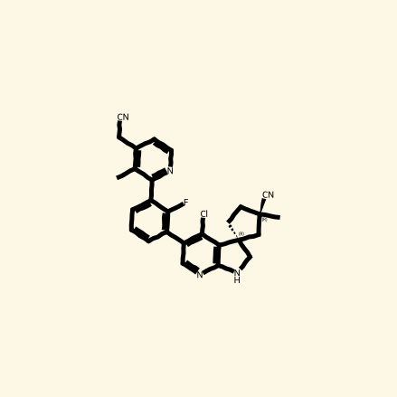 Cc1c(CC#N)ccnc1-c1cccc(-c2cnc3c(c2Cl)[C@]2(CC[C@@](C)(C#N)C2)CN3)c1F